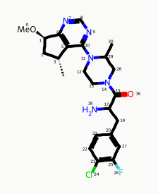 CO[C@@H]1C[C@@H](C)c2c1ncnc2N1CCN(C(=O)C(N)Cc2ccc(Cl)c(F)c2)CC1C